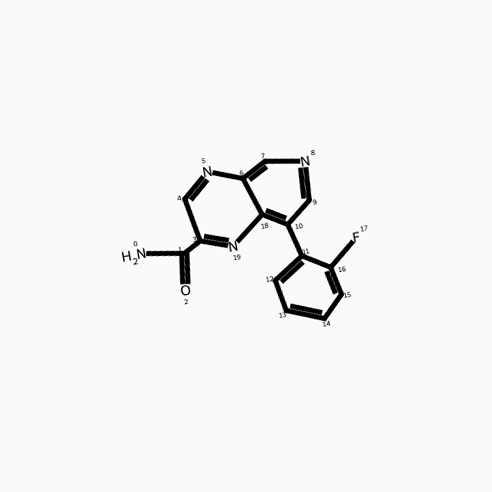 NC(=O)c1cnc2cncc(-c3ccccc3F)c2n1